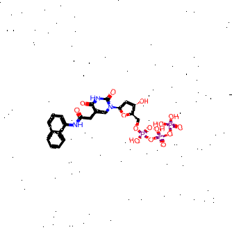 O=C(Cc1cn([C@H]2C[C@H](O)[C@@H](COP(=O)(O)OP(=O)(O)OP(=O)(O)O)O2)c(=O)[nH]c1=O)Nc1cccc2ccccc12